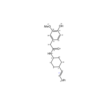 CCC/C=C/C1CCC(NC(=O)Cc2ccc(O)c(OC)c2)CC1